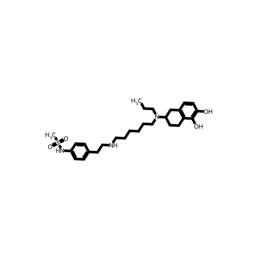 CCCN(CCCCCCNCCc1ccc(NS(C)(=O)=O)cc1)C1CCc2c(ccc(O)c2O)C1